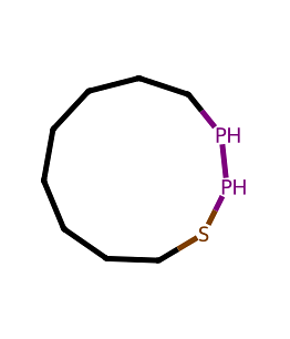 C1CCCCSPPCCC1